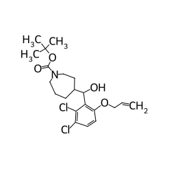 C=CCOc1ccc(Cl)c(Cl)c1C(O)C1CCCN(C(=O)OC(C)(C)C)CC1